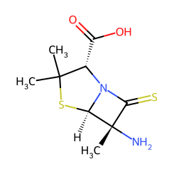 CC1(C)S[C@H]2N(C(=S)[C@]2(C)N)[C@H]1C(=O)O